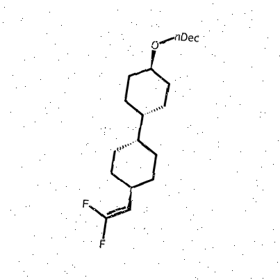 CCCCCCCCCCO[C@H]1CC[C@H]([C@H]2CC[C@H](C=C(F)F)CC2)CC1